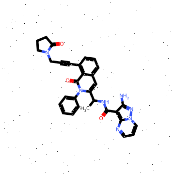 CC(NC(=O)c1c(N)nn2cccnc12)c1cc2cccc(C#CCN3CCCC3=O)c2c(=O)n1-c1ccccc1